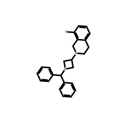 Fc1cccc2c1CN(C1CN(C(c3ccccc3)c3ccccc3)C1)CC2